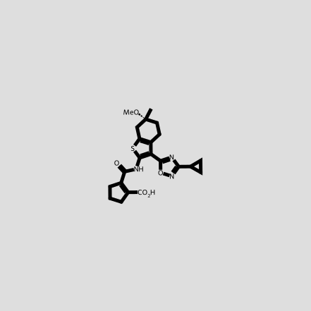 CO[C@]1(C)CCc2c(sc(NC(=O)C3=C(C(=O)O)CCC3)c2-c2nc(C3CC3)no2)C1